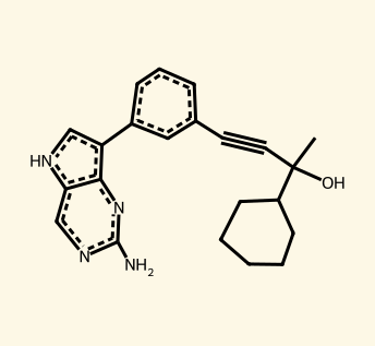 CC(O)(C#Cc1cccc(-c2c[nH]c3cnc(N)nc23)c1)C1CCCCC1